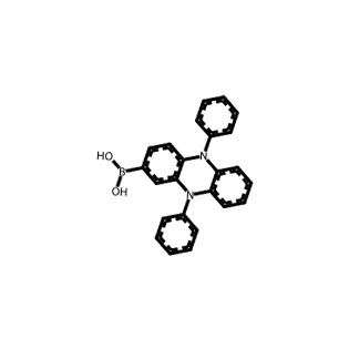 OB(O)c1ccc2c(c1)N(c1ccccc1)c1ccccc1N2c1ccccc1